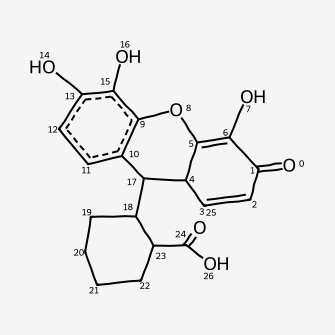 O=C1C=CC2C(=C1O)Oc1c(ccc(O)c1O)C2C1CCCCC1C(=O)O